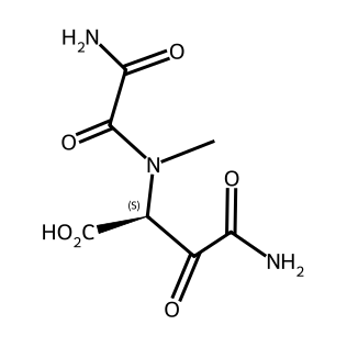 CN(C(=O)C(N)=O)[C@H](C(=O)O)C(=O)C(N)=O